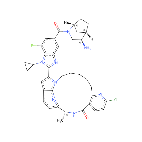 C[C@H]1NC(=O)c2ccc(Cl)nc2CCCCCn2c(-c3nc4cc(C(=O)N5C[C@H](N)[C@H]6CC[C@@H]5C6)cc(F)c4n3C3CC3)cc3ccc1nc32